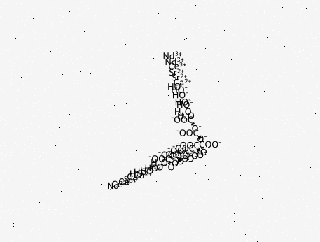 O.O.O.O=C([O-])[O-].O=C([O-])[O-].O=C([O-])[O-].O=C([O-])[O-].O=C([O-])[O-].O=C([O-])[O-].O=C([O-])[O-].O=C([O-])[O-].O=C([O-])[O-].O=C([O-])[O-].[Ca+2].[Ca+2].[Ca+2].[Ce+3].[Ce+3].[Ce+3].[Nd+3].[Nd+3].[Nd+3].[OH-].[OH-].[OH-].[OH-].[OH-].[OH-].[OH-].[OH-].[OH-].[OH-].[Sr+2].[Sr+2].[Sr+2]